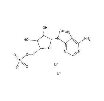 Nc1ncnc2c1ncn2C1OC(COP(=O)([O-])[S-])C(O)C1O.[Li+].[Li+]